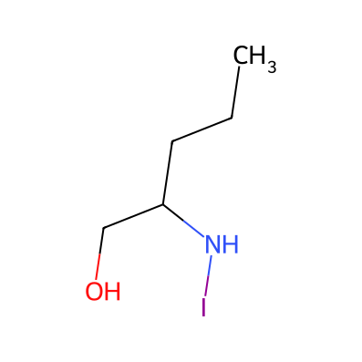 CCCC(CO)NI